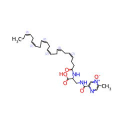 CC/C=C\C/C=C\C/C=C\C/C=C\C/C=C\C/C=C\CCC(=O)NC(CNC(=O)c1c[n+]([O-])c(C)cn1)C(=O)O